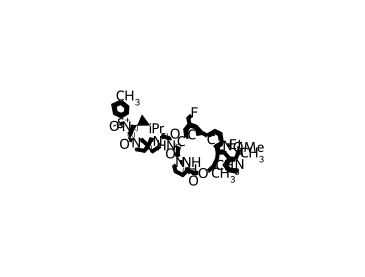 CCn1c(-c2cccnc2[C@H](C)OC)c2c3cc(ccc31)-c1cc(CF)cc(c1)C[C@H](NC(=O)[C@H](C(C)C)N1CC[C@]3(CCN(C(=O)[C@H]4[C@@H](C5CC5)N4[S@+]([O-])c4ccc(C)cc4)C3)C1)C(=O)N1CCC[C@H](N1)C(=O)OCC(C)(C)C2